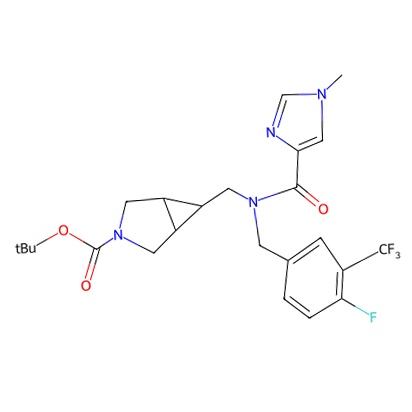 Cn1cnc(C(=O)N(Cc2ccc(F)c(C(F)(F)F)c2)CC2C3CN(C(=O)OC(C)(C)C)CC32)c1